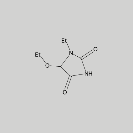 CCOC1C(=O)NC(=O)N1CC